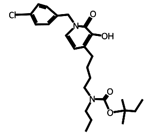 CCCN(CCCCc1ccn(Cc2ccc(Cl)cc2)c(=O)c1O)C(=O)OC(C)(C)CC